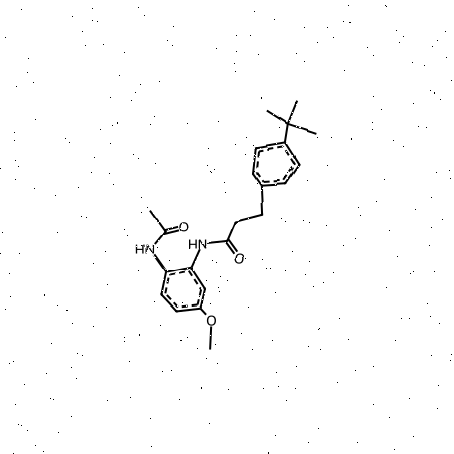 COc1ccc(NC(C)=O)c(NC(=O)CCc2ccc(C(C)(C)C)cc2)c1